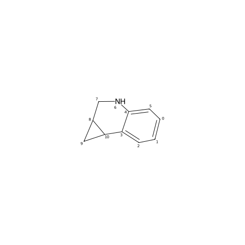 c1ccc2c(c1)NCC1CC21